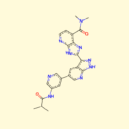 CC(C)C(=O)Nc1cncc(-c2cnc3[nH]nc(-c4nc5c(C(=O)N(C)C)ccnc5[nH]4)c3c2)c1